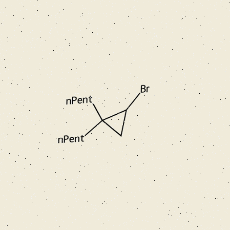 CCCCCC1(CCCCC)CC1Br